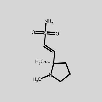 CN1CCC[C@]1(C)/C=C/S(N)(=O)=O